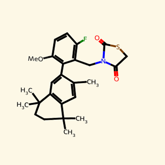 COc1ccc(F)c(CN2C(=O)CSC2=O)c1-c1cc2c(cc1C)C(C)(C)CCC2(C)C